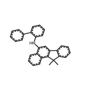 CC1(C)c2ccccc2-c2cc(Nc3ccccc3-c3ccccc3)c3ccccc3c21